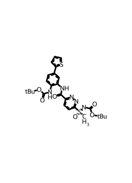 CC(C)(C)OC(=O)N=S(C)(=O)c1ccc(C(=O)Nc2cc(-c3cccs3)ccc2NC(=O)OC(C)(C)C)nn1